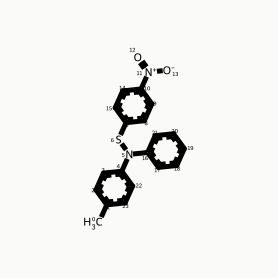 Cc1ccc(N(Sc2ccc([N+](=O)[O-])cc2)c2ccccc2)cc1